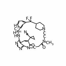 C[C@H]1Nc2ncnc3c2cc(C2(C#N)CC2)c(=O)n3CCCC(=O)N(C)CCN2CCC(CC2)C(F)(F)c2cccc1c2